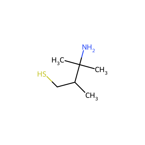 CC(CS)C(C)(C)N